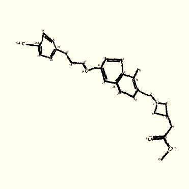 COC(=O)CC1CN(CC2=C(C)c3ccc(OCCCc4ccc(F)cc4)cc3CC2)C1